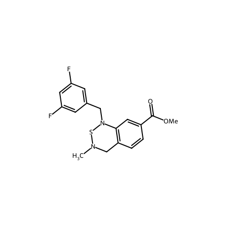 COC(=O)c1ccc2c(c1)N(Cc1cc(F)cc(F)c1)SN(C)C2